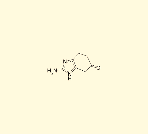 Nc1nc2c([nH]1)CC(=O)CC2